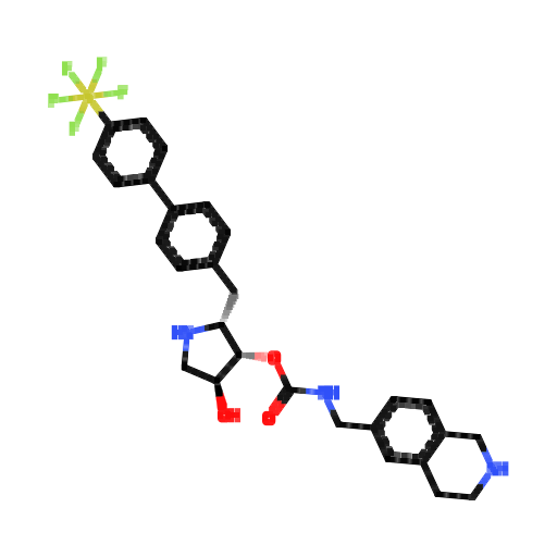 O=C(NCc1ccc2c(c1)CCNC2)O[C@@H]1[C@@H](O)CN[C@@H]1Cc1ccc(-c2ccc(S(F)(F)(F)(F)F)cc2)cc1